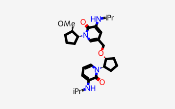 CO[C@@H]1CCC[C@H]1n1cc(CO[C@@H]2CCC[C@@H]2n2cccc(NC(C)C)c2=O)cc(NC(C)C)c1=O